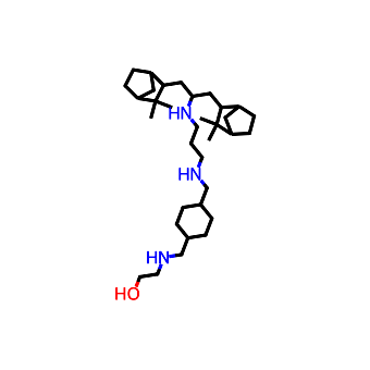 CC1(C)C2CCC(C2)C1CC(CC1C2CCC(C2)C1(C)C)NCCCNCC1CCC(CNCCO)CC1